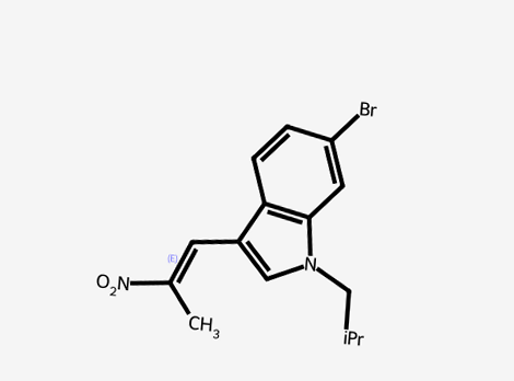 C/C(=C\c1cn(CC(C)C)c2cc(Br)ccc12)[N+](=O)[O-]